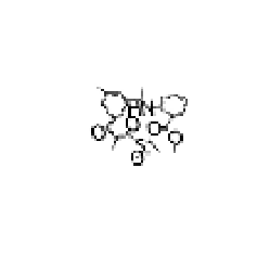 CC[S+]([O-])c1oc2c(C(C)Nc3ccccc3C(=O)OC)cc(C)cc2c(=O)c1C